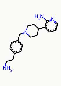 NCCc1ccc(CN2CCC(c3cccnc3N)CC2)cc1